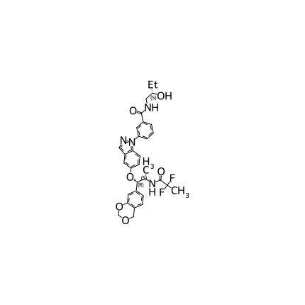 CC[C@H](O)CNC(=O)c1cccc(-n2ncc3cc(O[C@H](c4ccc5c(c4)OCOC5)[C@H](C)NC(=O)C(C)(F)F)ccc32)c1